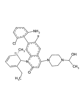 CCC1=CC=C[C@H](C)C1n1c(=O)cc(N2CCN(C(C)O)CC2)c2cc(F)c(-c3c(N)cccc3Cl)cc21